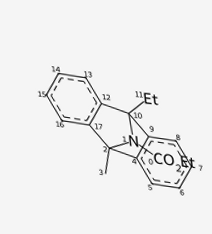 CCOC(=O)N1C2(C)c3ccccc3C1(CC)c1ccccc12